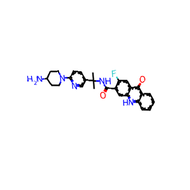 CC(C)(NC(=O)c1cc2[nH]c3ccccc3c(=O)c2cc1F)c1ccc(N2CCC(N)CC2)nc1